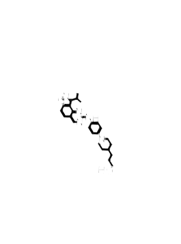 CC(C)c1noc2ccc3cnc(Nc4ccc(N5CCC(CCCO)CC5)cc4)nc3c12